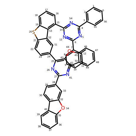 c1ccc(-c2nc(-c3ccccc3)nc(-c3cccc4sc5ccc(-c6nc(-c7ccc8c(c7)oc7ccccc78)nc7c6oc6ccccc67)cc5c34)n2)cc1